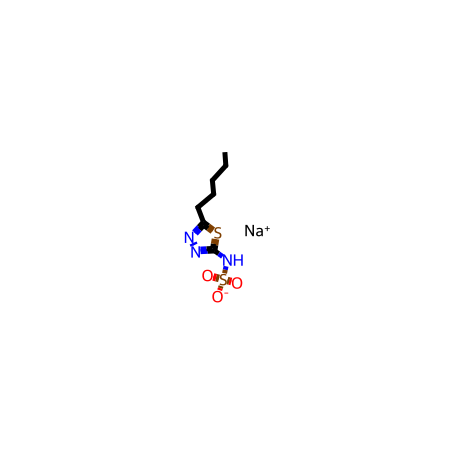 CCCCCc1nnc(NS(=O)(=O)[O-])s1.[Na+]